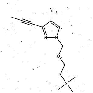 CC#Cc1nn(COCC[Si](C)(C)C)cc1N